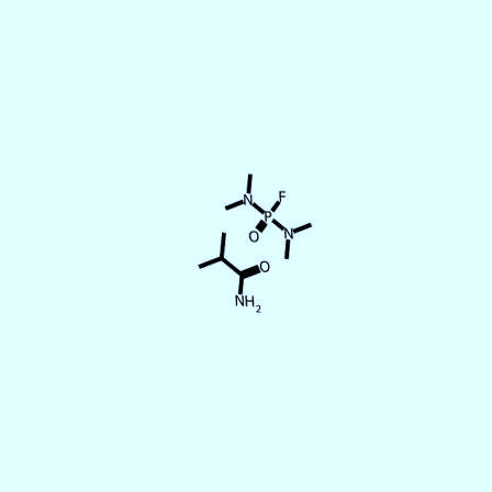 CC(C)C(N)=O.CN(C)P(=O)(F)N(C)C